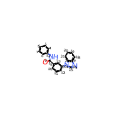 O=C(Nc1ccccc1)c1cccc(-n2cnc3ccccc32)c1